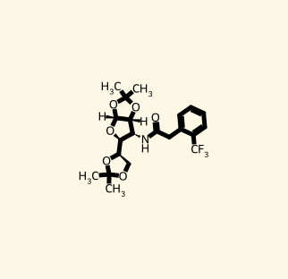 CC1(C)O[C@H]2O[C@H]([C@H]3COC(C)(C)O3)[C@@H](NC(=O)Cc3ccccc3C(F)(F)F)[C@H]2O1